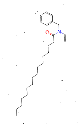 C=CN(Cc1ccccc1)C(=O)CCCCCCCCCCCCCCC